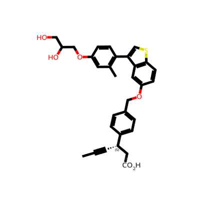 CC#C[C@@H](CC(=O)O)c1ccc(COc2ccc3scc(-c4ccc(OCC(O)CO)cc4C)c3c2)cc1